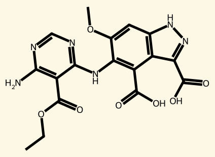 CCOC(=O)c1c(N)ncnc1Nc1c(OC)cc2[nH]nc(C(=O)O)c2c1C(=O)O